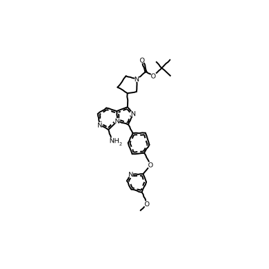 COc1ccnc(Oc2ccc(-c3nc(C4CCN(C(=O)OC(C)(C)C)C4)c4ccnc(N)n34)cc2)c1